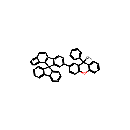 CC1(c2ccccc2)c2ccccc2Oc2ccc(-c3ccc4c(c3)C3(c5ccccc5-c5ccccc53)c3c-4ccc4ccccc34)cc21